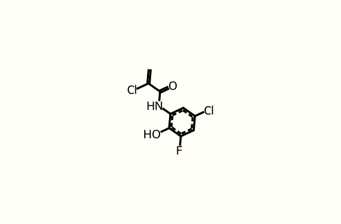 C=C(Cl)C(=O)Nc1cc(Cl)cc(F)c1O